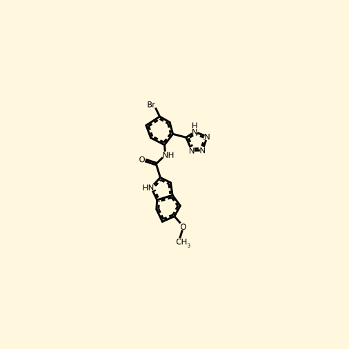 COc1ccc2[nH]c(C(=O)Nc3ccc(Br)cc3-c3nnn[nH]3)cc2c1